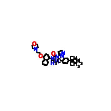 Cc1ccc(C(C)(C)C)cc1-n1nccc1NC(=O)Nc1ccc(OCCN2CCOCC2)c2ccccc12